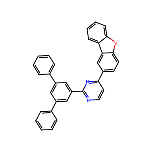 c1ccc(-c2cc(-c3ccccc3)cc(-c3nccc(-c4ccc5oc6ccccc6c5c4)n3)c2)cc1